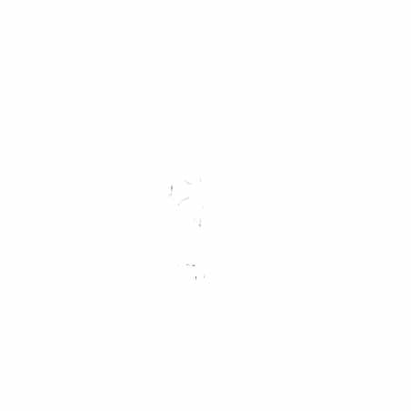 CC(C)CCCCOc1cccc2c1CCN(CCCC(=O)O)CC2